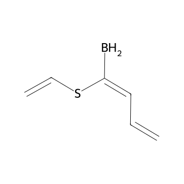 B/C(=C/C=C)SC=C